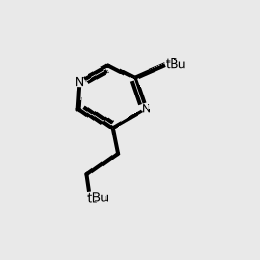 CC(C)(C)CCc1cncc(C(C)(C)C)n1